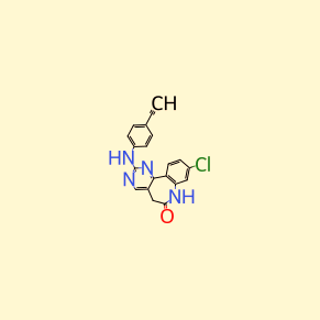 C#Cc1ccc(Nc2ncc3c(n2)-c2ccc(Cl)cc2NC(=O)C3)cc1